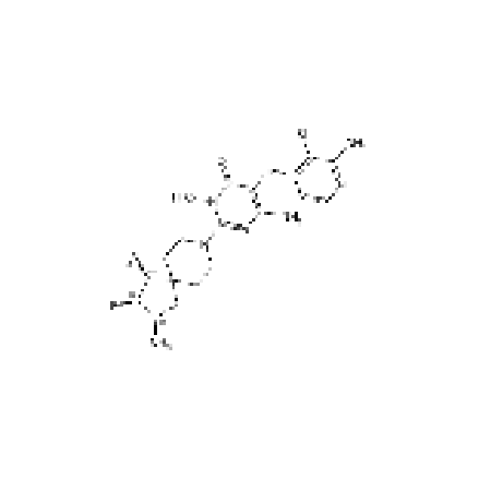 C[C@@H]1CC2(CCN(c3nc(N)c(Sc4ccnc(N)c4Cl)c(=O)n3C)CC2)[C@H](N)[C@@H]1F